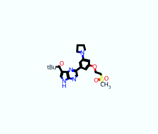 CC(C)(C)C(=O)c1c[nH]c2ncc(-c3cc(OCCS(C)(=O)=O)cc(N4CCCC4)c3)nc12